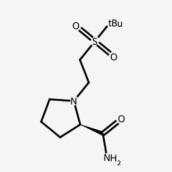 CC(C)(C)S(=O)(=O)CCN1CCC[C@@H]1C(N)=O